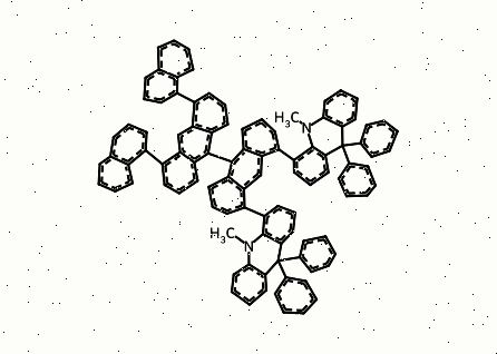 CN1c2ccccc2C(c2ccccc2)(c2ccccc2)c2cccc(-c3cccc4c(-c5c6cccc(-c7cccc8ccccc78)c6cc6c(-c7cccc8ccccc78)cccc56)c5cccc(-c6cccc7c6N(C)c6ccccc6C7(c6ccccc6)c6ccccc6)c5cc34)c21